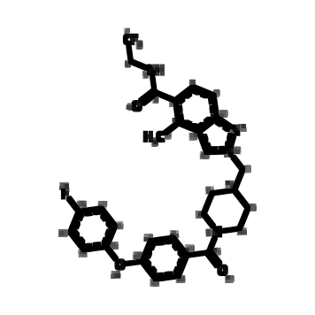 Cc1c(C(=O)NCC(F)(F)F)ccc2nn(CC3CCN(C(=O)c4ccc(Oc5ccc(F)cc5)cc4)CC3)cc12